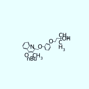 CCCCOc1c(C)c(COc2cccc(OCCC(C)(C)O)c2)nc2ccccc12